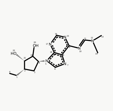 CC[C@H]1C[C@@H](n2cnc3c(/N=C/N(C)C)ncnc32)C(O)[C@H]1O